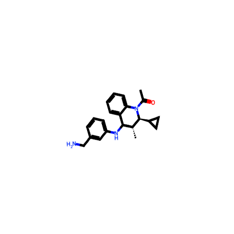 CC(=O)N1c2ccccc2C(Nc2cccc(CN)c2)[C@@H](C)[C@@H]1C1CC1